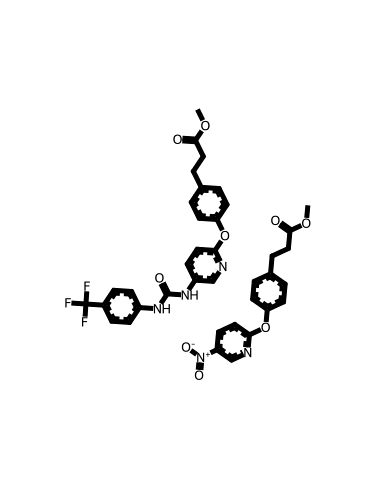 COC(=O)CCc1ccc(Oc2ccc(NC(=O)Nc3ccc(C(F)(F)F)cc3)cn2)cc1.COC(=O)CCc1ccc(Oc2ccc([N+](=O)[O-])cn2)cc1